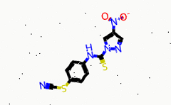 N#CSc1ccc(NC(=S)n2cc([N+](=O)[O-])cn2)cc1